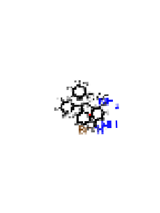 CC(=O)OC(c1cc2c(Br)n[nH]c2cc1N)C(c1ccccc1)(c1ccccc1)c1ccccc1